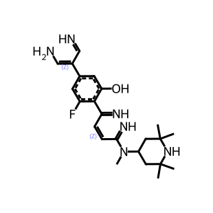 CN(C(=N)/C=C\C(=N)c1c(O)cc(/C(C=N)=C/N)cc1F)C1CC(C)(C)NC(C)(C)C1